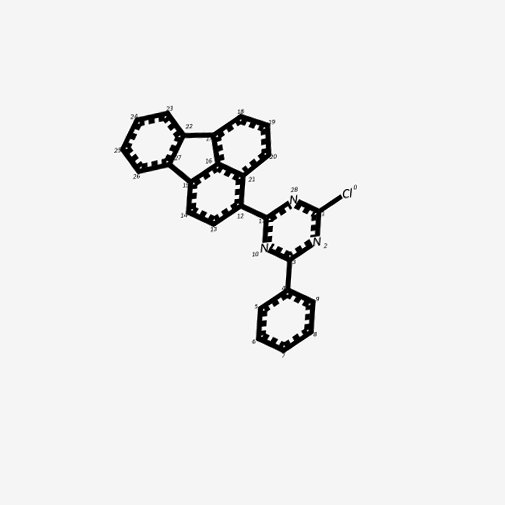 Clc1nc(-c2ccccc2)nc(-c2ccc3c4c(cccc24)-c2ccccc2-3)n1